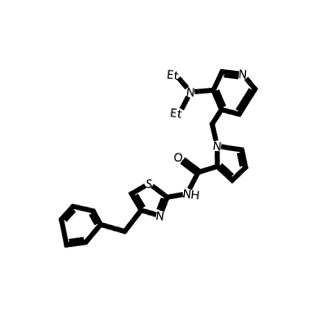 CCN(CC)c1cnccc1Cn1cccc1C(=O)Nc1nc(Cc2ccccc2)cs1